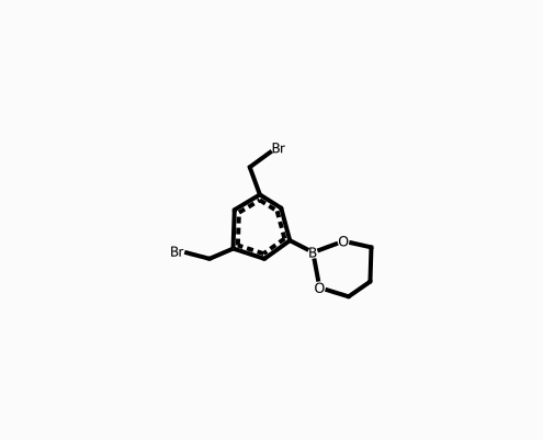 BrCc1cc(CBr)cc(B2OCCCO2)c1